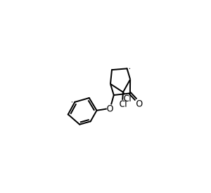 O=C1C(Oc2c[c]ccc2)C2C[CH]C1C2(Cl)Cl